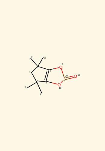 CC1(C)CC(C)(C)C2=C1OS(=O)O2